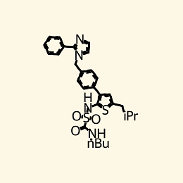 CCCCNC(=O)S(=O)(=O)Nc1sc(CC(C)C)cc1-c1ccc(Cn2ccnc2-c2ccccc2)cc1